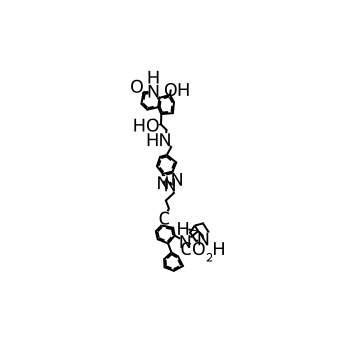 O=C(O)N(c1cc(CCCCn2nc3ccc(CNC[C@H](O)c4ccc(O)c5[nH]c(=O)ccc45)cc3n2)ccc1-c1ccccc1)[C@H]1CN2CCC1CC2